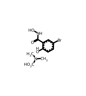 CN(C)C(=O)O.O=C(NO)c1cc(Br)ccc1O